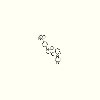 CN1CCN(c2ncccc2OC2CCN(c3ccc(-c4ncco4)cc3)C2=O)CC1